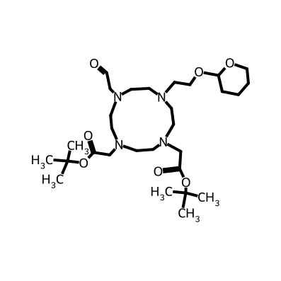 CC(C)(C)OC(=O)CN1CCN(CC=O)CCN(CCOC2CCCCO2)CCN(CC(=O)OC(C)(C)C)CC1